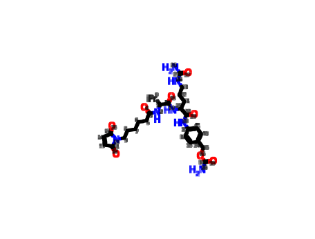 CC(C)C(NC(=O)CCCCCN1C(=O)C=CC1=O)C(=O)NC(CCCNC(N)=O)C(=O)Nc1ccc(COC(N)=O)cc1